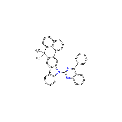 CC1(C)c2cc3c4ccccc4n(-c4nc(-c5ccccc5)c5ccccc5n4)c3cc2-c2cccc3cccc1c23